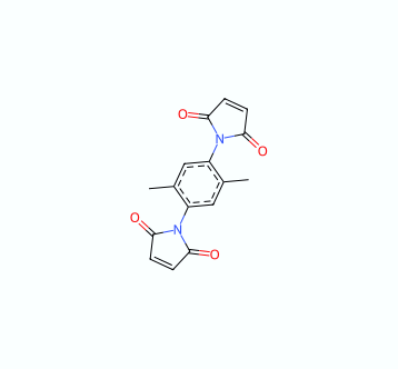 Cc1cc(N2C(=O)C=CC2=O)c(C)cc1N1C(=O)C=CC1=O